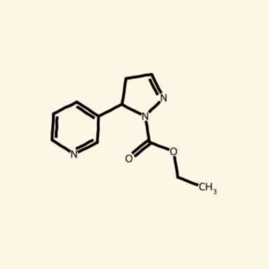 CCOC(=O)N1N=CCC1c1cccnc1